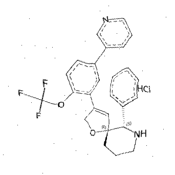 Cl.FC(F)(F)Oc1ccc(-c2cccnc2)cc1C1=C[C@@]2(CCCN[C@H]2c2ccccc2)OC1